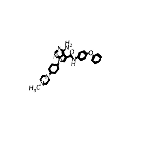 CN1CCN(C2CCC(n3cc(C(=O)Nc4ccc(Oc5ccccc5)cc4)c4c(N)ncnc43)CC2)CC1